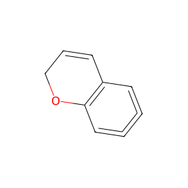 C1=C=CC2=C(C=1)C=CCO2